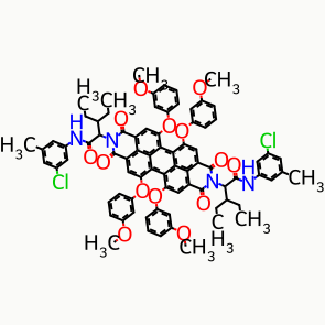 CCC(CC)C(C(=O)Nc1cc(C)cc(Cl)c1)N1C(=O)c2cc(Oc3cccc(OC)c3)c3c4c(Oc5cccc(OC)c5)cc5c6c(cc(Oc7cccc(OC)c7)c(c7c(Oc8cccc(OC)c8)cc(c2c37)C1=O)c64)C(=O)N(C(C(=O)Nc1cc(C)cc(Cl)c1)C(CC)CC)C5=O